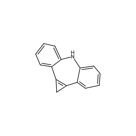 c1ccc2c(c1)Nc1ccccc1C1=C2C1